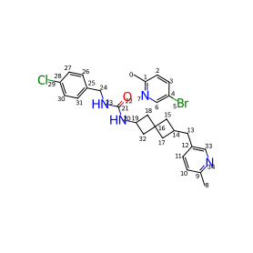 Cc1ccc(Br)cn1.Cc1ccc(CC2CC3(C2)CC(NC(=O)NCc2ccc(Cl)cc2)C3)cn1